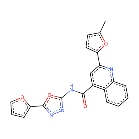 Cc1ccc(-c2cc(C(=O)Nc3nnc(-c4ccco4)o3)c3ccccc3n2)o1